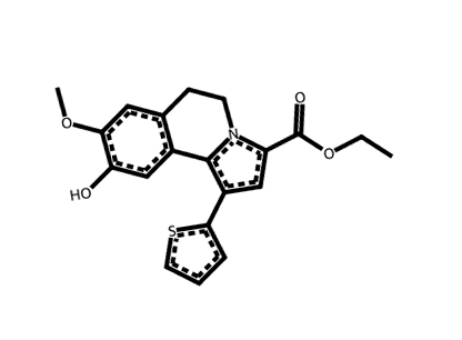 CCOC(=O)c1cc(-c2cccs2)c2n1CCc1cc(OC)c(O)cc1-2